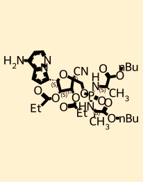 CCCCOC(=O)[C@H](C)NP(=O)(N[C@@H](C)C(=O)OCCCC)OC[C@@]1(C#N)O[C@@H](c2ccc3c(N)ccnn23)[C@H](OC(=O)CC)[C@@H]1OC(=O)CC